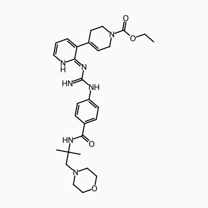 CCOC(=O)N1CC=C(c2ccc[nH]/c2=N\C(=N)Nc2ccc(C(=O)NC(C)(C)CN3CCOCC3)cc2)CC1